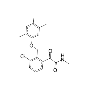 CNC(=O)C(=O)c1cccc(Cl)c1COc1cc(C)c(C)cc1C